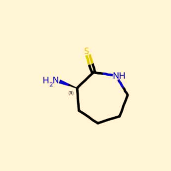 N[C@@H]1CCCCNC1=S